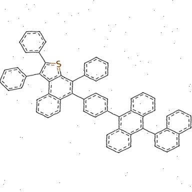 c1ccc(-c2sc3c(-c4ccccc4)c(-c4ccc(-c5c6ccccc6c(-c6cccc7ccccc67)c6ccccc56)cc4)c4ccccc4c3c2-c2ccccc2)cc1